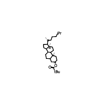 CC(C)CCC[C@@H](C)C1CCC2C3CCC4C[C@@H](OC(=O)C(C)(C)C)CC[C@]4(C)C3CC[C@@]21C